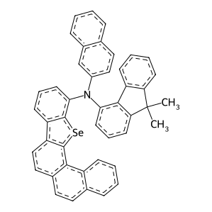 CC1(C)c2ccccc2-c2c(N(c3ccc4ccccc4c3)c3cccc4c3[se]c3c4ccc4ccc5ccccc5c43)cccc21